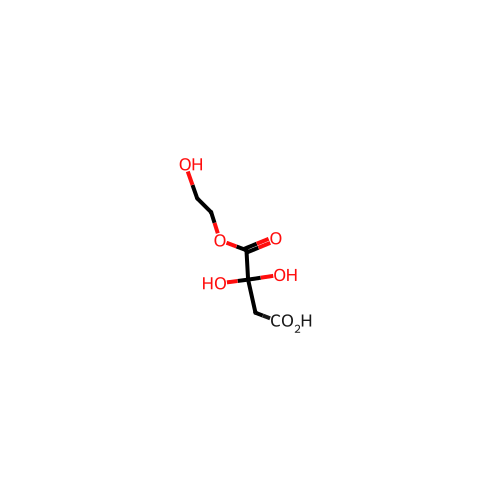 O=C(O)CC(O)(O)C(=O)OCCO